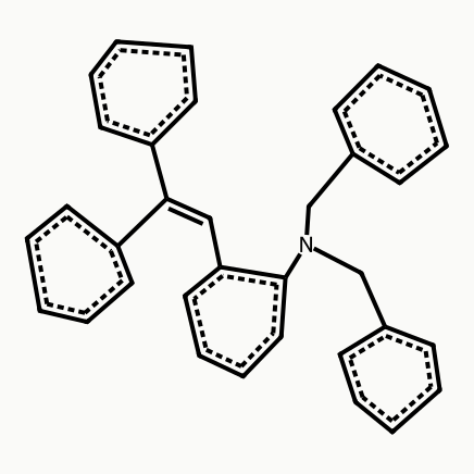 C(=C(c1ccccc1)c1ccccc1)c1ccccc1N(Cc1ccccc1)Cc1ccccc1